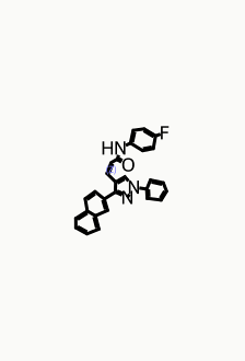 O=C(/C=C\c1cn(-c2ccccc2)nc1-c1ccc2ccccc2c1)Nc1ccc(F)cc1